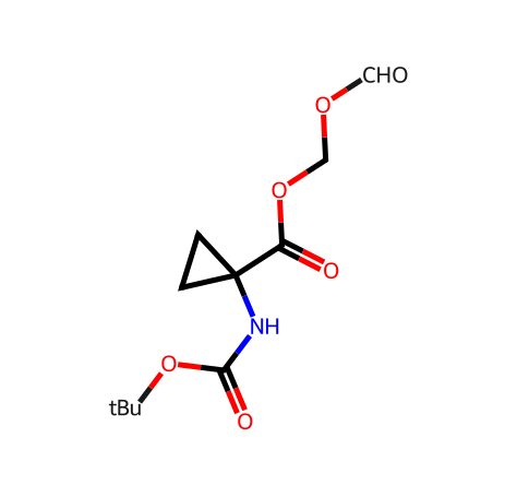 CC(C)(C)OC(=O)NC1(C(=O)OCOC=O)CC1